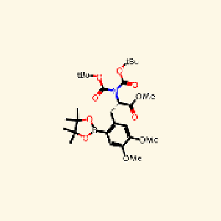 COC(=O)[C@H](Cc1cc(OC)c(OC)cc1B1OC(C)(C)C(C)(C)O1)N(C(=O)OC(C)(C)C)C(=O)OC(C)(C)C